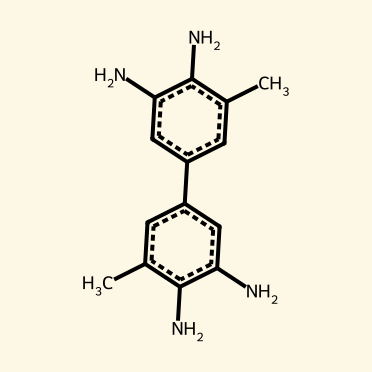 Cc1cc(-c2cc(C)c(N)c(N)c2)cc(N)c1N